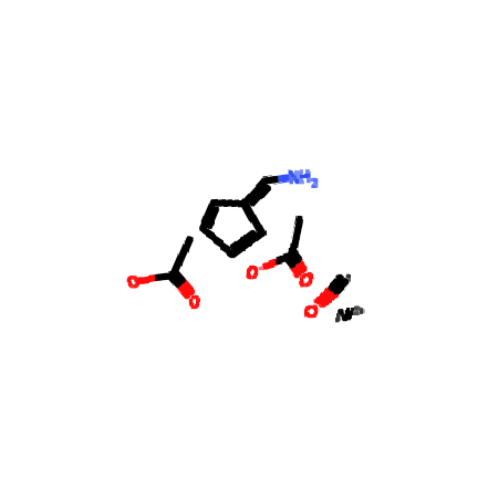 CC(=O)[O-].CC(=O)[O-].NC=C1C=CC=C1.[C]=O.[Ni+2]